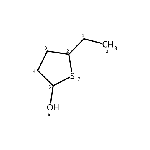 CCC1CCC(O)S1